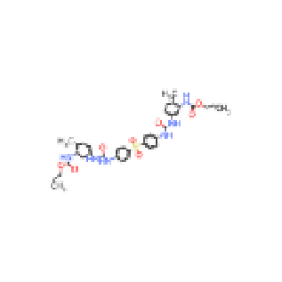 CCCOC(=O)Nc1cc(NC(=O)Nc2ccc(S(=O)(=O)c3ccc(NC(=O)Nc4ccc(C)c(NC(=O)OCCC)c4)cc3)cc2)ccc1C